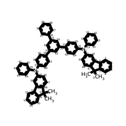 CC1(C)c2ccccc2-c2cc(N(c3ccccc3)c3ccc(-c4cc(-c5ccccc5)cc(-c5ccc(N(c6ccccc6)c6ccc7c(c6)-c6ccccc6C7(C)C)cc5)c4)cc3)ccc21